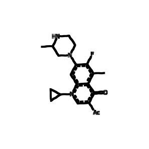 CC(=O)c1cn(C2CC2)c2cc(N3CCNC(C)C3)c(F)c(C)c2c1=O